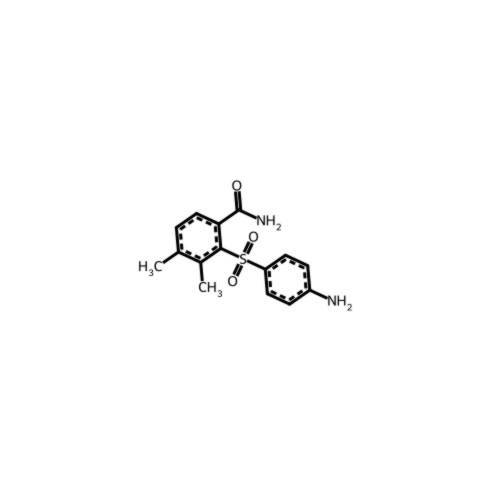 Cc1ccc(C(N)=O)c(S(=O)(=O)c2ccc(N)cc2)c1C